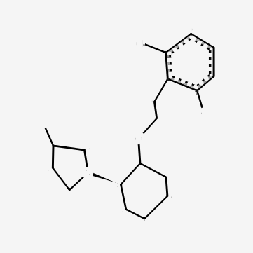 OC1CCN([C@@H]2CCCCC2OCCc2c(Cl)cccc2Cl)C1